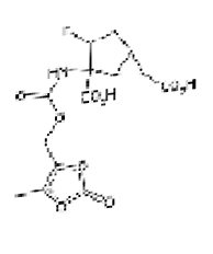 Cc1oc(=O)oc1COC(=O)NC1(C(=O)O)C(F)CC2C(C(=O)O)C21